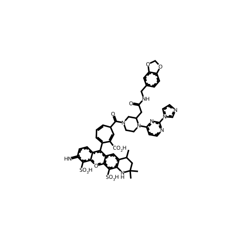 CC1CC(C)(C)Nc2c1cc1c(C3=CC=CC(C(=O)N4CCN(c5ccnc(-n6ccnc6)n5)C(CC(=O)NCc5ccc6c(c5)OCO6)C4)C=C3C(=O)O)c3ccc(=N)c(S(=O)(=O)O)c-3oc1c2S(=O)(=O)O